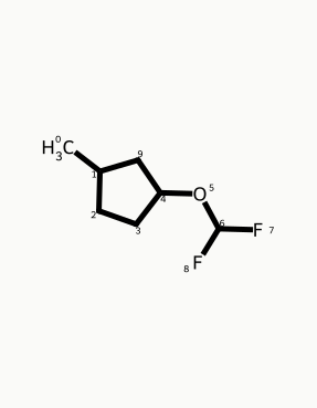 CC1CCC(OC(F)F)C1